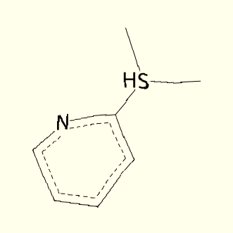 C[SH](C)c1ccccn1